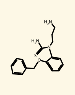 NCCCN(C(N)=S)c1ccccc1OCc1ccccc1